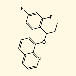 CCC(Oc1cccc2cccnc12)c1ccc(F)cc1F